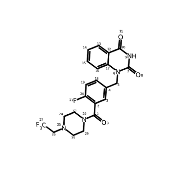 O=C(c1cc(Cn2c(=O)[nH]c(=O)c3ccccc32)ccc1F)N1CCN(CC(F)(F)F)CC1